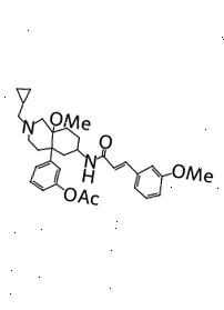 COc1cccc(/C=C/C(=O)NC2CCC3(OC)CN(CC4CC4)CCC3(c3cccc(OC(C)=O)c3)C2)c1